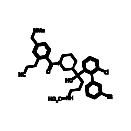 CCc1cccc(-c2c(Cl)cccc2[C@](O)(CCCNC(=O)O)[C@@H]2CCCN(C(=O)c3ccc(CNC)cc3CCC#N)C2)c1